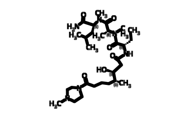 CC[C@H](NC(=O)C[C@H](O)[C@H](C)CCCC(=O)N1CCN(C)CC1)C(=O)N(C)[C@H](C)C(=O)N(C)[C@@H](CC(C)C)C(N)=O